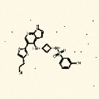 N#Cc1cccc(S(=O)(=O)N[C@H]2C[C@@H](Nc3c(-c4nc(CCO)co4)cnc4[nH]ccc34)C2)c1